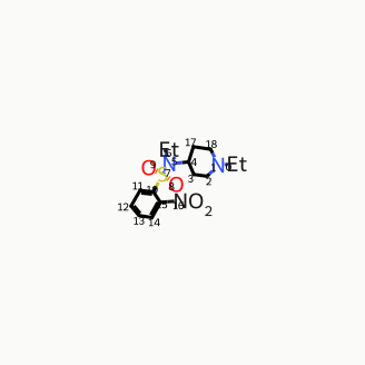 CCN1CCC(N(CC)S(=O)(=O)c2ccccc2[N+](=O)[O-])CC1